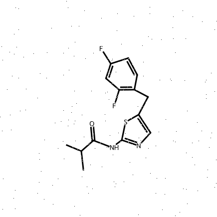 CC(C)C(=O)Nc1ncc(Cc2ccc(F)cc2F)s1